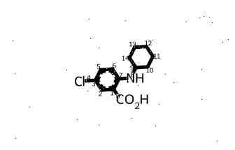 O=C(O)c1cc(Cl)ccc1NC1CCCCC1